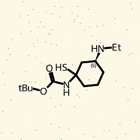 CCN[C@H]1CCCC(S)(NC(=O)OC(C)(C)C)C1